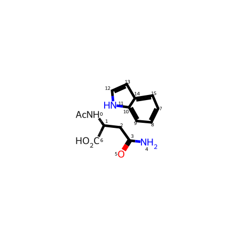 CC(=O)NC(CC(N)=O)C(=O)O.c1ccc2[nH]ccc2c1